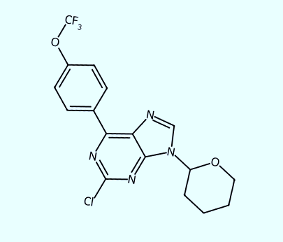 FC(F)(F)Oc1ccc(-c2nc(Cl)nc3c2ncn3C2CCCCO2)cc1